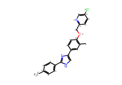 Cc1cc(-c2c[nH]c(-c3ccc(C(F)(F)F)cc3)n2)ccc1OCc1ccc(Cl)cn1